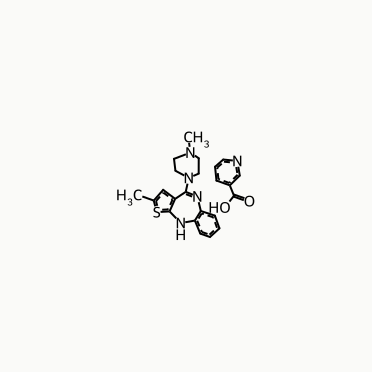 Cc1cc2c(s1)Nc1ccccc1N=C2N1CCN(C)CC1.O=C(O)c1cccnc1